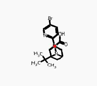 CC(C)(C)C12CC(CN(c3ccc(Br)cn3)C1)N2OC(=O)O